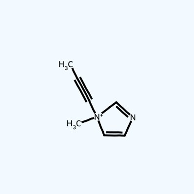 CC#C[N+]1(C)C=CN=C1